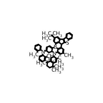 CC1=CC2=C(CC1N1c3cc(C)cc4c3B(C3=CC=C(N(c5ccccc5C)c5ccccc5C)CC31)c1cc(C(C)(C)C)cc3c1C4c1sc4ccccc4c1-3)C(C)(C)CCC2(C)C